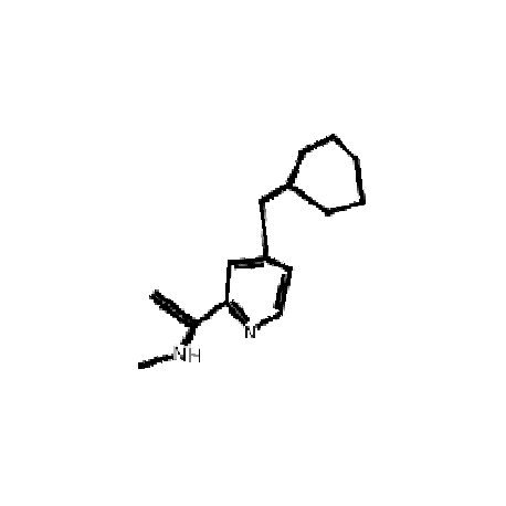 C=C(NC)c1cc(CC2CCCCC2)ccn1